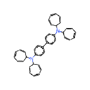 C1=CC=CC(N(c2ccc(-c3ccc(N(C4C=CC=CC=C4)C4C=CC=CC=C4)cc3)cc2)C2C=CC=CC=C2)C=C1